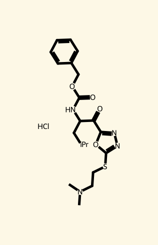 CC(C)CC(NC(=O)OCc1ccccc1)C(=O)c1nnc(SCCN(C)C)o1.Cl